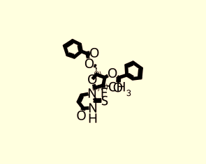 C[C@@]1(F)C(OC(=O)c2ccccc2)[C@@H](COC(=O)c2ccccc2)O[C@H]1n1ccc(=O)[nH]c1=S